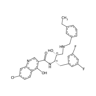 CCc1cccc(CNC[C@@H](O)[C@H](Cc2cc(F)cc(F)c2)NC(=O)c2cnc3cc(Cl)ccc3c2O)c1